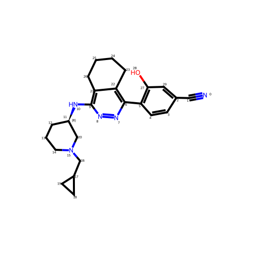 N#Cc1ccc(-c2nnc(N[C@@H]3CCCN(CC4CC4)C3)c3c2CCCC3)c(O)c1